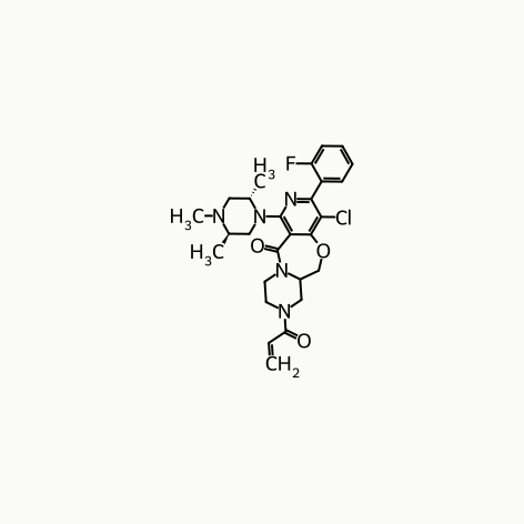 C=CC(=O)N1CCN2C(=O)c3c(N4C[C@@H](C)N(C)C[C@@H]4C)nc(-c4ccccc4F)c(Cl)c3OCC2C1